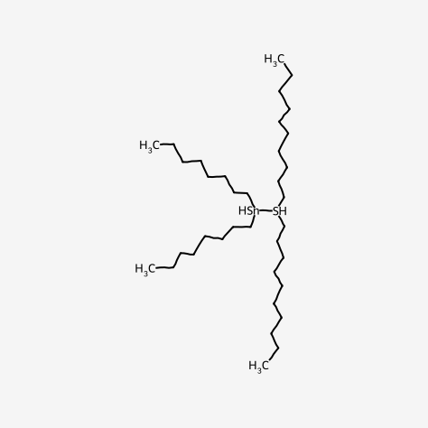 CCCCCCCCCC[SH](CCCCCCCCCC)[SnH]([CH2]CCCCCCC)[CH2]CCCCCCC